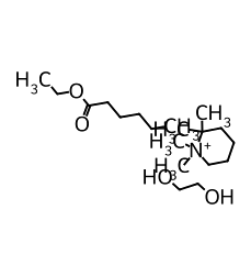 CC1(C)CCCC[N+]1(C)C.CCCCCC(=O)OCC.OCCO